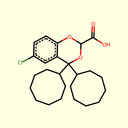 O=C(O)C1Oc2ccc(Cl)cc2C(C2CCCCCCC2)(C2CCCCCCC2)O1